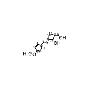 COc1ccc(CS[C@H]2CO[C@@H](CO)[C@@H]2O)cc1